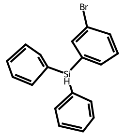 Brc1cccc([SiH](c2ccccc2)c2ccccc2)c1